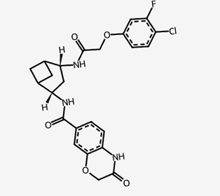 O=C1COc2cc(C(=O)N[C@H]3C[C@@H](NC(=O)COc4ccc(Cl)c(F)c4)C4CC3C4)ccc2N1